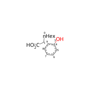 CCCCCCCC(=O)O.Oc1ccccc1